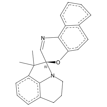 CC1(C)c2cccc3c2N(CCC3)[C@@]12C=Nc1c(ccc3ccccc13)O2